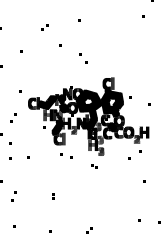 CC(C)(Oc1ccc(Cl)cc1)C(=O)O.CC(N)Cc1ccccc1.O=NN(CCCl)C(=O)NCCCl